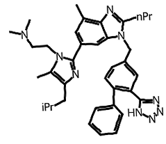 CCCc1nc2c(C)cc(-c3nc(CC(C)C)c(C)n3CCN(C)C)cc2n1Cc1ccc(-c2ccccc2)c(-c2nnn[nH]2)c1